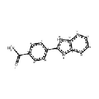 NC(=O)c1ccc(-c2nc3cccnc3[nH]2)cc1